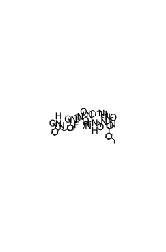 CCc1cccc(-c2cnc(C(=O)N3CCN(CC4CCN(CC(=O)N5CCN(C(=O)c6cc(Cc7n[nH]c(=O)c8ccccc78)ccc6F)CC5)CC4)CC3)c(NC(=O)CNCc3nc(C)co3)c2)c1